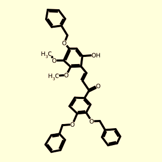 COc1c(OCc2ccccc2)cc(O)c(C=CC(=O)c2ccc(OCc3ccccc3)c(OCc3ccccc3)c2)c1OC